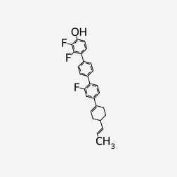 C/C=C/C1CC=C(c2ccc(-c3ccc(-c4ccc(O)c(F)c4F)cc3)c(F)c2)CC1